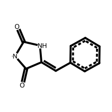 O=C1[N]C(=O)C(=Cc2ccccc2)N1